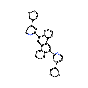 c1ccc(-c2ccnc(-c3cc4c5ccccc5c(-c5cc(-c6ccccc6)ccn5)cc4c4ccccc34)c2)cc1